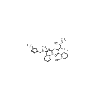 C=C/C(C#N)=C(\C)N(Cc1nc(N(C)Cc2cnn(C)c2)c2ccccc2n1)C(=O)c1ccccc1CCC